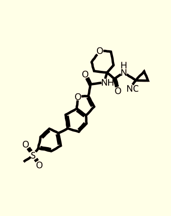 CS(=O)(=O)c1ccc(-c2ccc3cc(C(=O)NC4(C(=O)NC5(C#N)CC5)CCOCC4)oc3c2)cc1